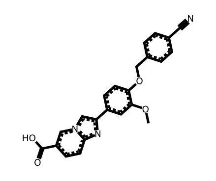 COc1cc(-c2cn3cc(C(=O)O)ccc3n2)ccc1OCc1ccc(C#N)cc1